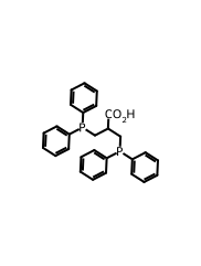 O=C(O)C(CP(c1ccccc1)c1ccccc1)CP(c1ccccc1)c1ccccc1